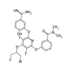 CN(C)C(=O)c1cccc(Oc2nc(Oc3cc(C(=N)N)ccc3O)c(F)c(OC(CF)CBr)c2F)c1